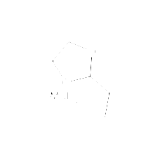 CCC1OCCO1.[MgH2]